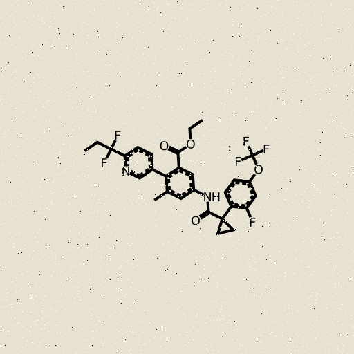 CCOC(=O)c1cc(NC(=O)C2(c3ccc(OC(F)(F)F)cc3F)CC2)cc(C)c1-c1ccc(C(F)(F)CC)nc1